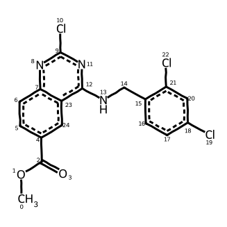 COC(=O)c1ccc2nc(Cl)nc(NCc3ccc(Cl)cc3Cl)c2c1